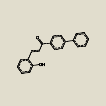 O=C(C=Cc1ccccc1O)c1ccc(-c2ccccc2)cc1